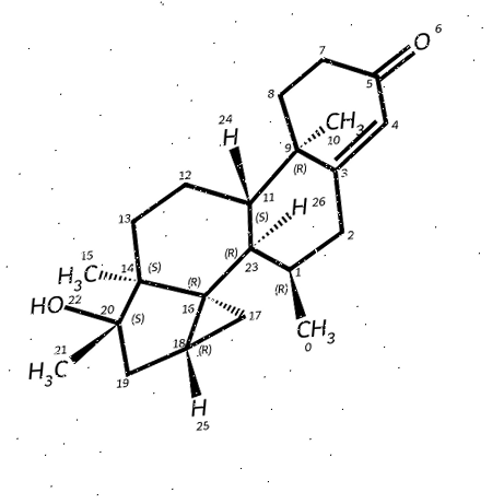 C[C@@H]1CC2=CC(=O)CC[C@]2(C)[C@H]2CC[C@@]3(C)[C@@]4(C[C@@H]4C[C@]3(C)O)[C@H]12